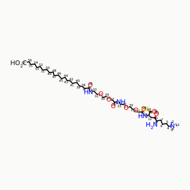 C[N+](C)(C)CCCC[C@H](N)C(=O)C[C@@H](NC(=O)COCCOCCNC(=O)COCCOCCNC(=O)CCCCCCCCCCCCCCCCCCCCC(=O)O)C(=O)S